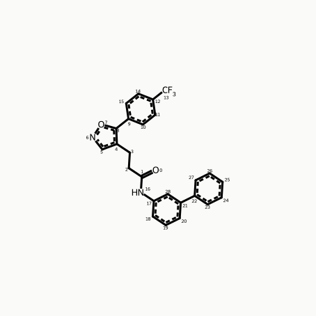 O=C(CCc1cnoc1-c1ccc(C(F)(F)F)cc1)Nc1cccc(-c2ccccc2)c1